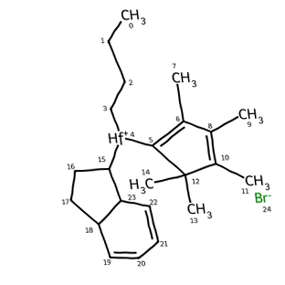 CCC[CH2][Hf+]([C]1=C(C)C(C)=C(C)C1(C)C)[CH]1CCC2C=CC=CC21.[Br-]